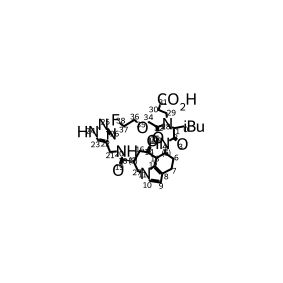 CCC(C)C(C(=O)N[C@H]1CCc2ccn3c2C1C(=O)C[C@H](C(=O)NCc1c[nH]nn1)C3)N(CCC(=O)O)C(=O)COCCF